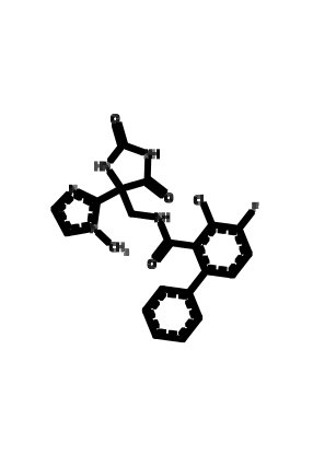 Cn1ccnc1C1(CNC(=O)c2c(-c3ccccc3)ccc(F)c2Cl)NC(=O)NC1=O